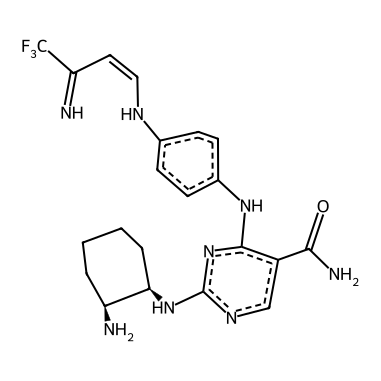 N=C(/C=C\Nc1ccc(Nc2nc(N[C@@H]3CCCC[C@@H]3N)ncc2C(N)=O)cc1)C(F)(F)F